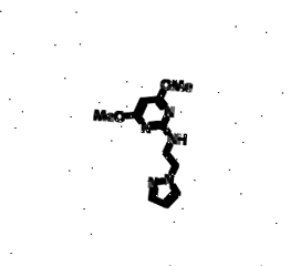 COc1cc(OC)nc(NCCn2cccn2)n1